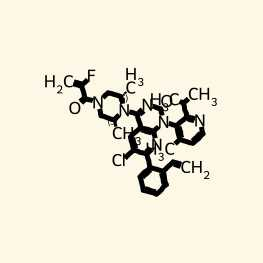 C=Cc1ccccc1-c1nc2c(cc1Cl)c(N1[C@@H](C)CN(C(=O)C(=C)F)C[C@@H]1C)nc(=O)n2-c1c(C)ccnc1C(C)C